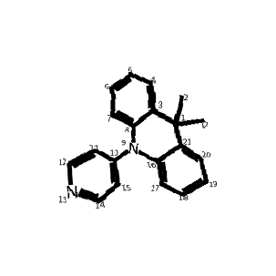 CC1(C)c2ccccc2N(c2ccncc2)c2ccccc21